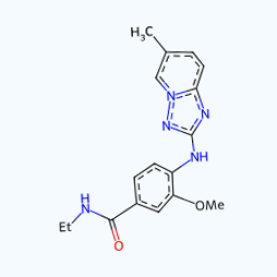 CCNC(=O)c1ccc(Nc2nc3ccc(C)cn3n2)c(OC)c1